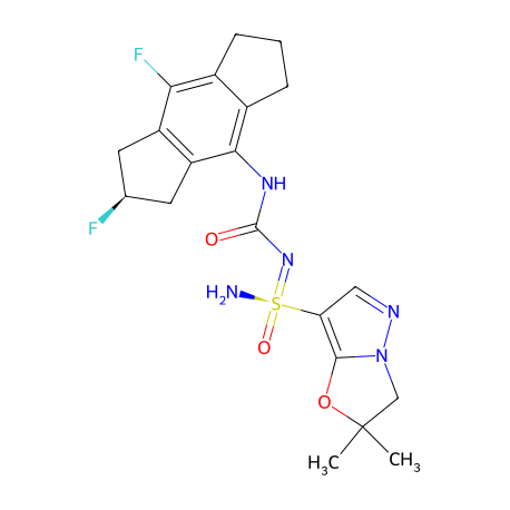 CC1(C)Cn2ncc([S@](N)(=O)=NC(=O)Nc3c4c(c(F)c5c3C[C@@H](F)C5)CCC4)c2O1